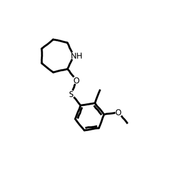 COc1cccc(SOC2CCCCCN2)c1C